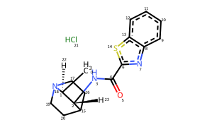 C[C@H]1[C@H](NC(=O)c2nc3ccccc3s2)C2CCN1CC2.Cl